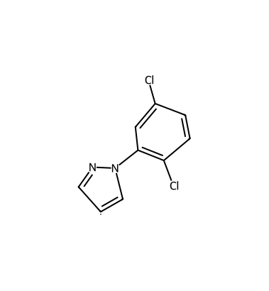 Clc1ccc(Cl)c(-n2c[c]cn2)c1